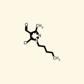 CCCCCn1nc(C)c(C=O)c1Cl